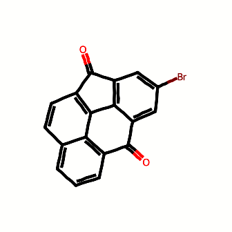 O=C1c2cc(Br)cc3c2-c2c1ccc1cccc(c21)C3=O